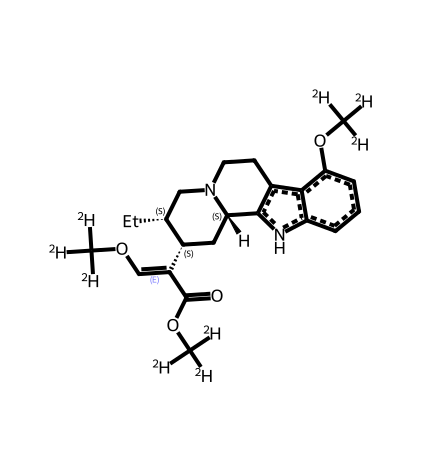 [2H]C([2H])([2H])O/C=C(/C(=O)OC([2H])([2H])[2H])[C@H]1C[C@H]2c3[nH]c4cccc(OC([2H])([2H])[2H])c4c3CCN2C[C@H]1CC